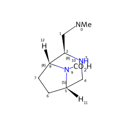 CNC[C@H]1NC[C@@H]2CC[C@H]1N2C(=O)O